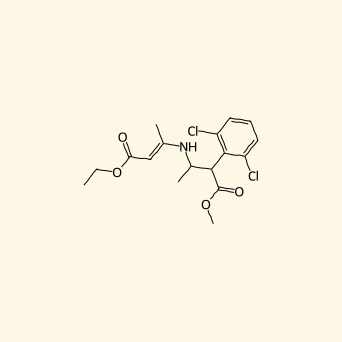 CCOC(=O)C=C(C)NC(C)C(C(=O)OC)c1c(Cl)cccc1Cl